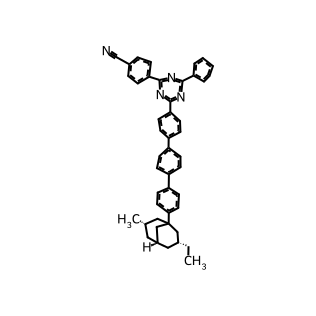 CC[C@@H]1C[C@@H]2C[C@H](C)CC(c3ccc(-c4ccc(-c5ccc(-c6nc(-c7ccccc7)nc(-c7ccc(C#N)cc7)n6)cc5)cc4)cc3)(C1)C2